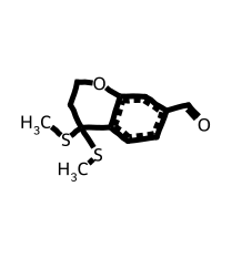 CSC1(SC)CCOc2cc(C=O)ccc21